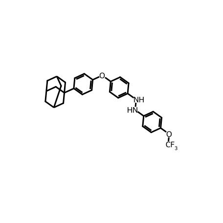 FC(F)(F)Oc1ccc(NNc2ccc(Oc3ccc(C45CC6CC(CC(C6)C4)C5)cc3)cc2)cc1